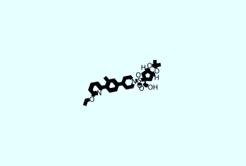 CCOc1cccc(-c2ccc(C3CCN(S(=O)(=O)[C@]4(C(=O)O)C[C@@H]5OC(C)(C)O[C@@H]5C4)CC3)cc2C)n1